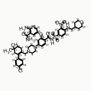 CC1(C)CCC(CN2CCN(c3ccc(C(=O)NS(=O)(=O)c4ccc(NCC5CCOCC5)c([N+](=O)[O-])c4)c(Oc4cnc(N)c(C(N)=O)c4)c3)CC2)=C(c2ccc(Cl)cc2)C1